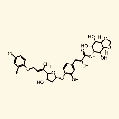 C/C(=C\c1ccc(O[C@H]2C[C@H](O)[C@@H](/C(C)=C/COc3ccc(Cl)cc3F)O2)c(O)c1)C(=O)N[C@@H]1[C@H](O)[C@@H](O)[C@H]2OCO[C@H]2[C@@H]1O